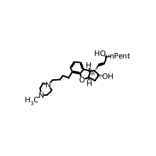 CCCCC[C@H](O)C=C[C@@H]1[C@H]2c3cccc(CCCCN4CCN(C)CC4)c3O[C@H]2C[C@H]1O